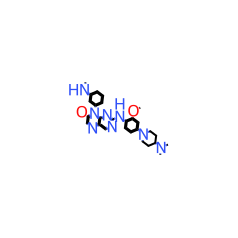 CNc1cccc(-n2c(=O)cnc3cnc(Nc4ccc(N5CCC(N(C)C)CC5)cc4OC)nc32)c1